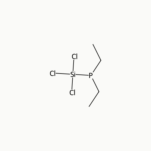 CCP(CC)[Si](Cl)(Cl)Cl